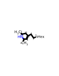 CCCCCCCCC1=CC(C)NC(C)C1